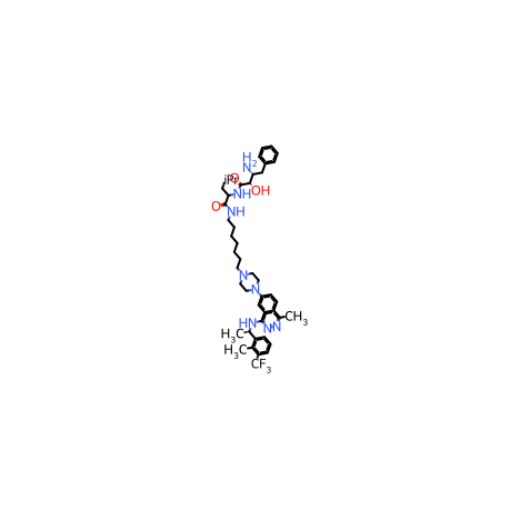 Cc1c([C@@H](C)Nc2nnc(C)c3ccc(N4CCN(CCCCCCCNC(=O)C(CC(C)C)NC(=O)[C@@H](O)[C@H](N)Cc5ccccc5)CC4)cc23)cccc1C(F)(F)F